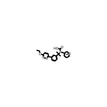 CCOc1ccc(-c2cccc(C(C)(C)N(C(=O)O)C3CCN4CCC3CC4)c2)nn1